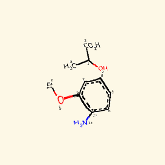 CC(O)C(=O)O.CCOc1ccccc1N